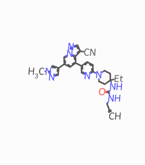 C#CCNC(=O)NC1(CC)CCN(c2ccc(-c3cc(-c4cnn(C)c4)cn4ncc(C#N)c34)cn2)CC1